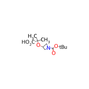 CC(C)(C)OC(=O)N1CC(OC(C)(C)C(=O)O)C1